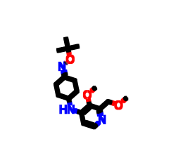 COCc1nccc(NC2CCC(=NOC(C)(C)C)CC2)c1OC